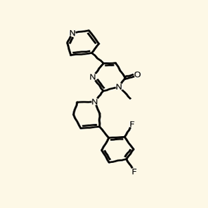 Cn1c(N2CCC=C(c3ccc(F)cc3F)C2)nc(-c2ccncc2)cc1=O